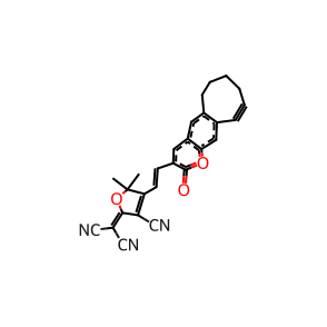 CC1(C)OC(=C(C#N)C#N)C(C#N)=C1/C=C/c1cc2cc3c(cc2oc1=O)C#CCCCC3